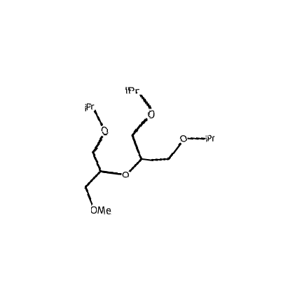 COCC(COC(C)C)OC(COC(C)C)COC(C)C